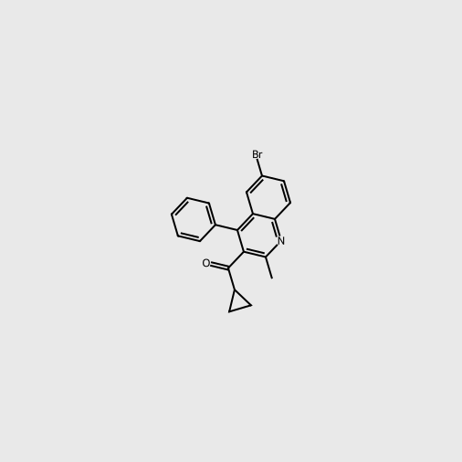 Cc1nc2ccc(Br)cc2c(-c2ccccc2)c1C(=O)C1CC1